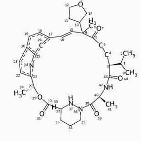 CC(C)[C@@H]1CCC(=O)C(C)(C2CCOC2)/C=C/c2ccc3ccc(nc3c2)[C@@H](C)OC(=O)[C@@H]2CCCN(N2)C(=O)[C@H](C)NC1=O